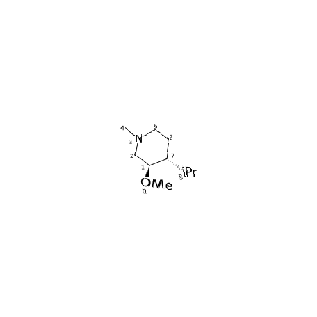 CO[C@H]1CN(C)CC[C@@H]1C(C)C